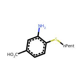 CCCCCSc1ccc(C(=O)O)cc1N